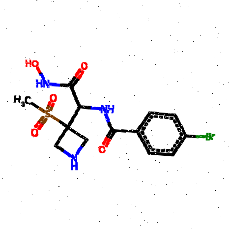 CS(=O)(=O)C1(C(NC(=O)c2ccc(Br)cc2)C(=O)NO)CNC1